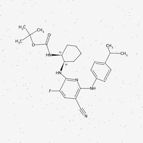 CC(C)c1ccc(Nc2nc(N[C@@H]3CCCC[C@@H]3NC(=O)OC(C)(C)C)c(F)cc2C#N)cc1